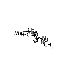 COCC(C)(C)NCC(=O)N1CCCC1Cc1noc(C)n1